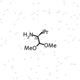 COC(OC)[C@@H](N)C(C)C